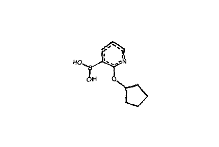 OB(O)c1cccnc1OC1CCCC1